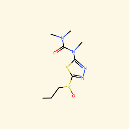 CCC[S+]([O-])c1nnc(N(C)C(=O)N(C)C)s1